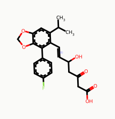 CC(C)c1cc2c(c(-c3ccc(F)cc3)c1/C=C/C(O)CC(=O)CC(=O)O)OCO2